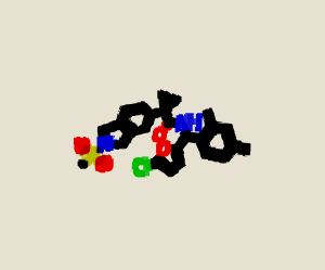 Cc1ccc(C(NC(=O)C2(c3ccc4c(c3)CN(S(C)(=O)=O)C4)CC2)c2ccc(Cl)o2)c(C)c1